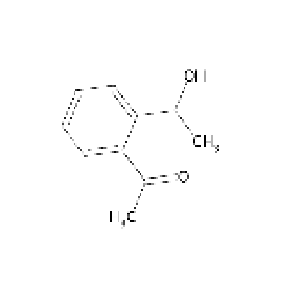 CC(=O)c1ccccc1C(C)O